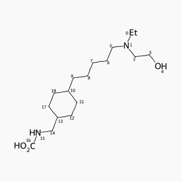 CCN(CCO)CCCCCC1CCC(CNC(=O)O)CC1